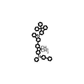 CC1(C)c2cc(-c3ccc4c(c3)c3ccccc3n4-c3ccc4c(c3)C(c3ccccc3)(c3ccccc3)c3ccccc3-4)ccc2-c2ccc(N(c3ccccc3)c3ccc(-c4ccccc4)cc3)cc21